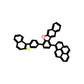 c1ccc2cc3c(cc2c1)oc1c(-c2ccc4c(c2)sc2ccc5ccccc5c24)ccc(-c2ccc4ccc5cccc6ccc2c4c56)c13